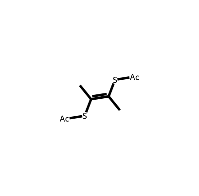 CC(=O)S/C(C)=C(\C)SC(C)=O